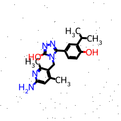 Cc1cc(N)nc(C)c1Cn1c(O)nnc1-c1ccc(O)c(C(C)C)c1